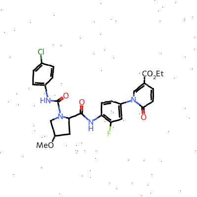 CCOC(=O)c1ccc(=O)n(-c2ccc(NC(=O)C3CC(OC)CN3C(=O)Nc3ccc(Cl)cc3)c(F)c2)c1